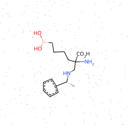 C[C@@H](NCC(N)(CCCCB(O)O)C(=O)O)c1ccccc1